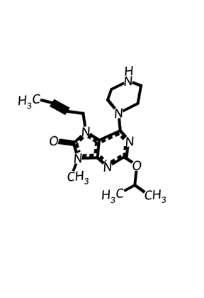 CC#CCn1c(=O)n(C)c2nc(OC(C)C)nc(N3CCNCC3)c21